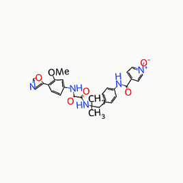 COc1cc(NC(=O)C(=O)NC(C)(C)Cc2ccc(NC(=O)c3cc[n+]([O-])cc3)cc2)ccc1-c1cnco1